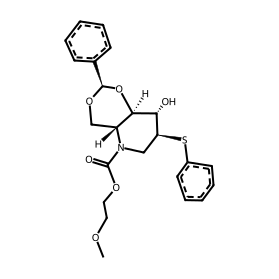 COCCOC(=O)N1C[C@H](Sc2ccccc2)[C@@H](O)[C@@H]2O[C@H](c3ccccc3)OC[C@H]21